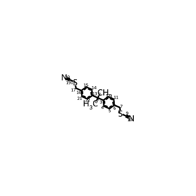 CC(C)(c1ccc(CSC#N)cc1)c1ccc(CSC#N)cc1